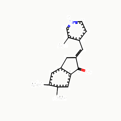 COc1cc2c(cc1OC)C(=O)C(=Cc1ccncc1C(C)=O)C2